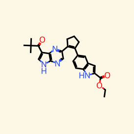 CCOC(=O)c1cc2cc(C3=C(c4cnc5[nH]cc(C(=O)C(C)(C)C)c5n4)CCC3)ccc2[nH]1